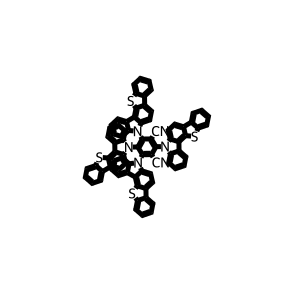 N#Cc1c(-n2c3ccccc3c3c4sc5ccccc5c4ccc32)c(C#N)c(-n2c3ccccc3c3c4sc5ccccc5c4ccc32)c(-n2c3ccccc3c3c4sc5ccccc5c4ccc32)c1-n1c2ccccc2c2c3sc4ccccc4c3ccc21